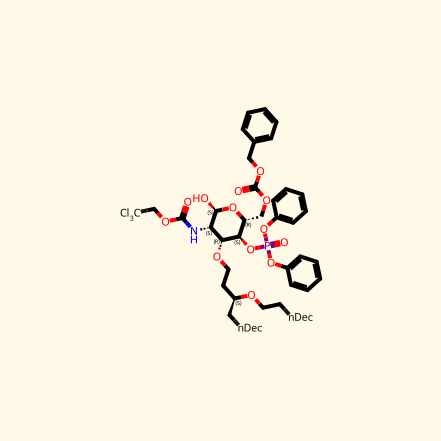 CCCCCCCCCCCCO[C@@H](CCCCCCCCCCC)CCO[C@@H]1[C@H](NC(=O)OCC(Cl)(Cl)Cl)[C@@H](O)O[C@H](COC(=O)OCc2ccccc2)[C@H]1OP(=O)(Oc1ccccc1)Oc1ccccc1